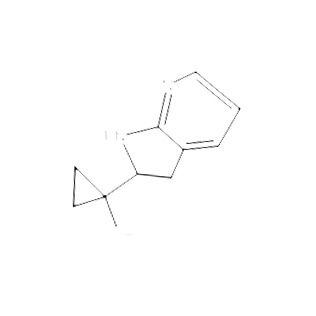 CC1(C2Cc3cccnc3N2)CC1